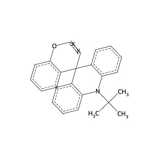 CC(C)(C)N1c2ccccc2C2(c3ccccc3Oc3ccccc32)c2ccccc21